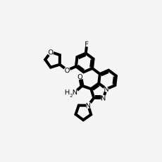 NC(=O)c1c(N2CCCC2)nn2cccc(-c3cc(F)cc(OC4CCOC4)c3)c12